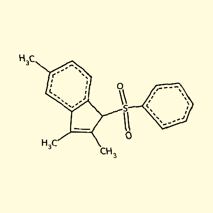 CC1=C(C)C(S(=O)(=O)c2ccccc2)c2ccc(C)cc21